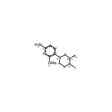 COc1nc(N)ccc1N1CCN(C)[C@H](C)C1